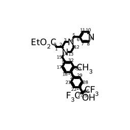 CCOC(=O)CC1CN(Cc2ccncc2)CCN1Cc1ccc(-c2ccc(C(O)(C(F)(F)F)C(F)(F)F)cc2)c(C)c1